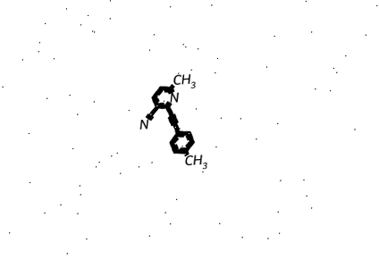 Cc1ccc(C#Cc2nc(C)ccc2C#N)cc1